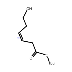 CC(C)(C)OC(=O)C/C=C\CCO